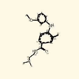 COc1cccc(Nc2ccc(C(=O)NCCN(C)C)cc2C)c1